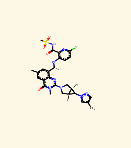 Cc1cc([C@@H](C)Nc2ccc(Cl)nc2C(=O)NS(C)(=O)=O)c2nc(N3C[C@@H]4C(n5cc(C(F)(F)F)cn5)[C@@H]4C3)n(C)c(=O)c2c1